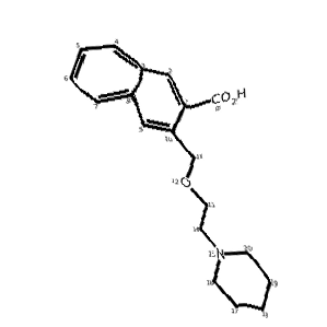 O=C(O)c1cc2ccccc2cc1COCCN1CCCCC1